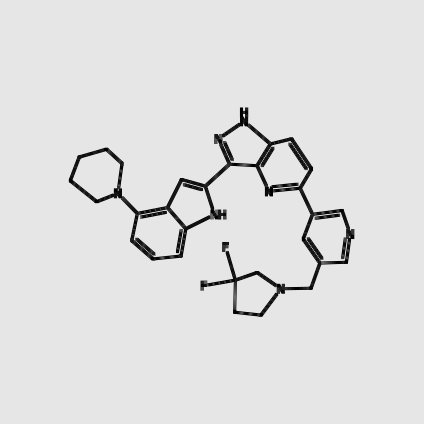 FC1(F)CCN(Cc2cncc(-c3ccc4[nH]nc(-c5cc6c(N7CCCCC7)cccc6[nH]5)c4n3)c2)C1